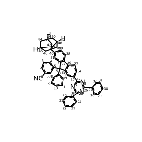 N#Cc1cccc(C2(c3ccccc3)c3cc(-c4nc(-c5ccccc5)nc(-c5ccccc5)n4)ccc3-c3ccc(C45C[C@H]6C[C@@H](C4)C[C@@H](C5)C6)cc32)c1